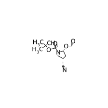 CC(C)(C)OC(=O)N1C[C@@H](C#N)C[C@H]1OC=O